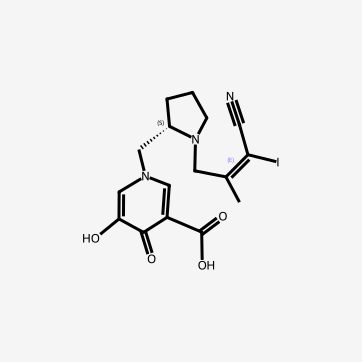 C/C(CN1CCC[C@H]1Cn1cc(O)c(=O)c(C(=O)O)c1)=C(\I)C#N